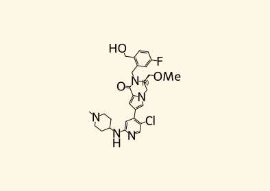 COC[C@H]1Cn2cc(-c3cc(NC4CCN(C)CC4)ncc3Cl)cc2C(=O)N1Cc1cc(F)ccc1CO